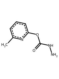 Cc1cccc(OC(=O)NN)n1